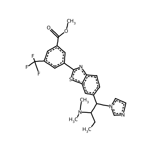 CCC(C(c1ccc2nc(-c3cc(C(=O)OC)cc(C(F)(F)F)c3)sc2c1)n1ccnc1)N(C)C